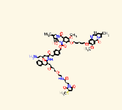 C=C1C[C@H]2C=Nc3cc(OCCCCCOc4cc5c(cc4OC)C(=O)N4CC(=C)C[C@H]4[C@H](O)N5C(=O)OCc4ccc(CC(=O)[C@H](CCCCN)NC(=O)[C@@H](CC(=O)CCOCCNC(=O)CCN5C(=O)CC(SC)C5=O)Cc5ccccc5)cc4)c(OC)cc3C(=O)N2C1